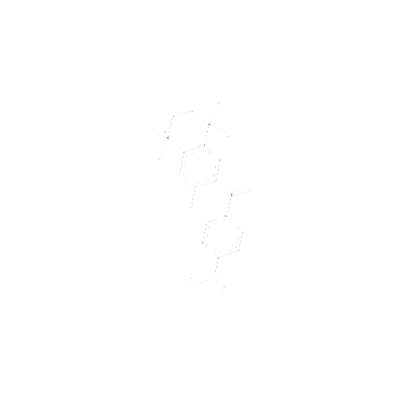 C=C(c1ccc(S(=O)O)cc1)c1cc2c(cc1C)C(C)(C)CCC2(C)C